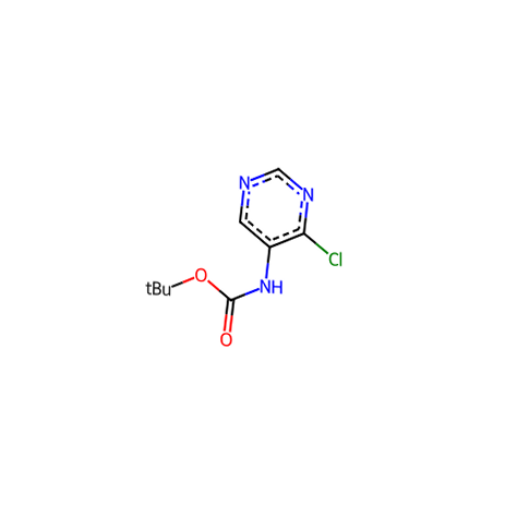 CC(C)(C)OC(=O)Nc1cncnc1Cl